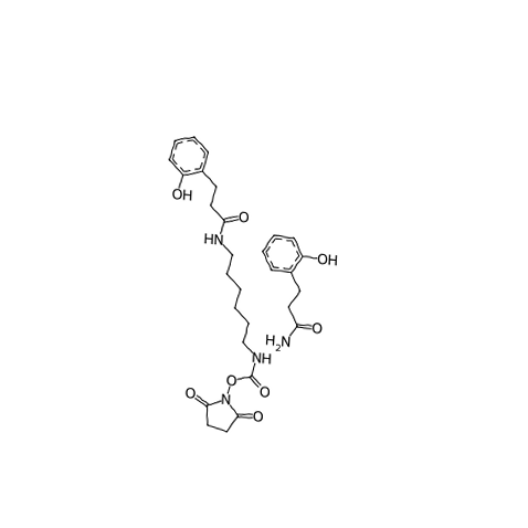 NC(=O)CCc1ccccc1O.O=C(CCc1ccccc1O)NCCCCCCNC(=O)ON1C(=O)CCC1=O